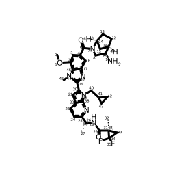 COc1cc(C(=O)N2C[C@H](N)[C@@H]3CC[C@H]2C3)cc2nc(-c3cc4ccc([C@@H](C)NC(=O)[C@@]5(C)CC5(F)F)nc4n3CC3CC3)n(C)c12